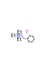 CC[N+](CC)(CC)CCc1ccccc1.[I-]